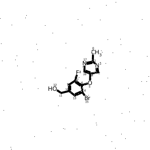 Cc1ncc(Oc2c(F)cc(CO)cc2Br)cn1